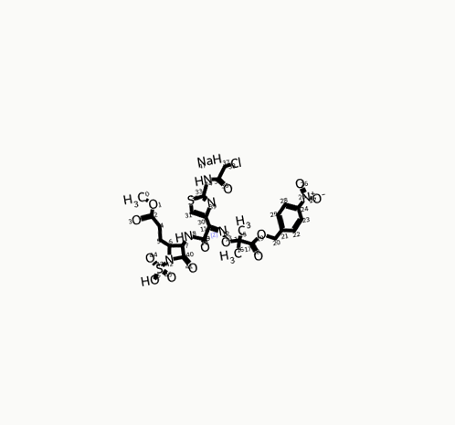 COC(=O)CCC1C(NC(=O)/C(=N\OC(C)(C)C(=O)OCc2ccc([N+](=O)[O-])cc2)c2csc(NC(=O)CCl)n2)C(=O)N1S(=O)(=O)O.[NaH]